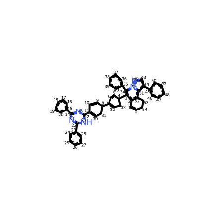 C1=Cc2c(C3C=CC(C4C=CC(C5N=C(c6ccccc6)N=C(c6ccccc6)N5)=CC4)=CC3)c(-c3ccccc3)n3ncc(-c4ccccc4)c3c2CC1